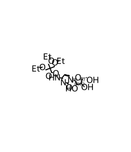 CCOCC(COCC)(COCC)C(=O)ONc1ccn([C@@H]2O[C@H](CO)[C@@H](O)[C@H]2O)c(=O)n1